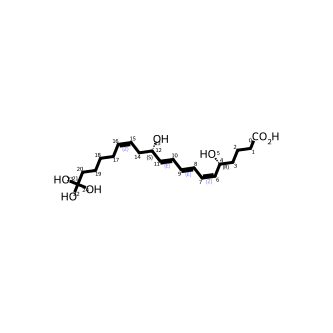 O=C(O)CCC[C@@H](O)\C=C/C=C/C=C/[C@@H](O)C/C=C\CCCCC(O)(O)O